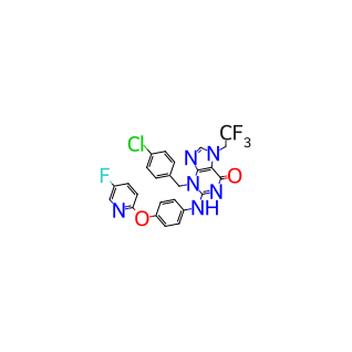 O=c1nc(Nc2ccc(Oc3ccc(F)cn3)cc2)n(Cc2ccc(Cl)cc2)c2ncn(CC(F)(F)F)c12